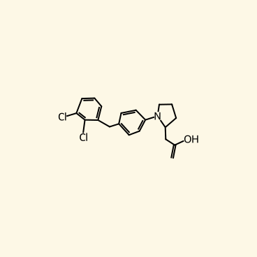 C=C(O)CC1CCCN1c1ccc(Cc2cccc(Cl)c2Cl)cc1